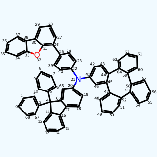 c1ccc(C2(c3ccccc3)c3ccccc3-c3ccc(N(c4ccc(-c5cccc6c5oc5ccccc56)cc4)c4ccc5c(c4)-c4ccccc4-c4ccccc4-c4ccccc4-5)cc32)cc1